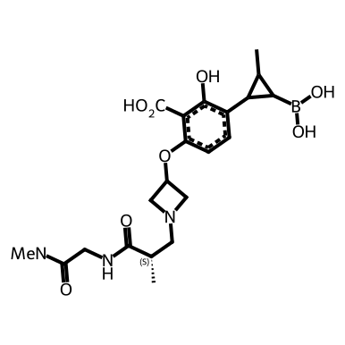 CNC(=O)CNC(=O)[C@@H](C)CN1CC(Oc2ccc(C3C(C)C3B(O)O)c(O)c2C(=O)O)C1